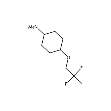 CNC1CCC(OCC(C)(F)F)CC1